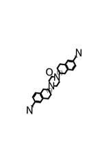 N#Cc1ccc2c(c1)CC[C@H](N1CCN([C@H]3CCc4cc(C#N)ccc4C3)C(=O)C1)C2